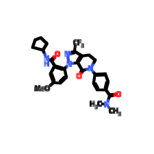 COc1ccc(-n2nc(C(F)(F)F)c3c2C(=O)N(c2ccc(C(=O)N(C)C)cc2)CC3)c(C(=O)NC2CCCC2)c1